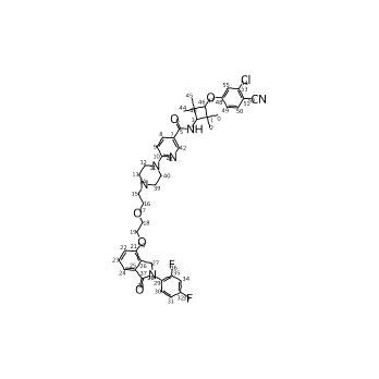 CC1(C)C(NC(=O)c2ccc(N3CCN(CCOCCOc4cccc5c4CN(c4ccc(F)cc4F)C5=O)CC3)nc2)C(C)(C)C1Oc1ccc(C#N)c(Cl)c1